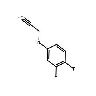 C#CCNc1ccc(F)c(F)c1